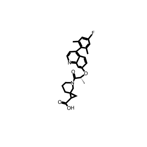 Cc1cc(F)cc(C)c1-c1ccnc2cc(O[C@H](C)C(=O)N3CCCC4(CC4C(=O)O)C3)ccc12